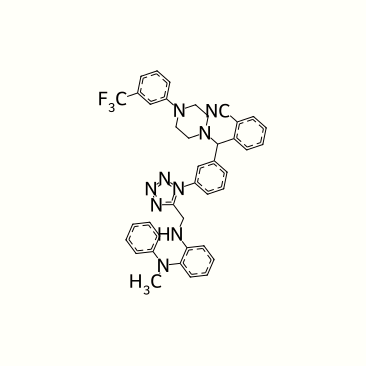 CN(c1ccccc1)c1ccccc1NCc1nnnn1-c1cccc(C(c2ccccc2C#N)N2CCN(c3cccc(C(F)(F)F)c3)CC2)c1